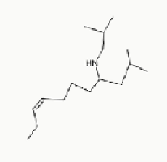 CC/C=C\CCCC(CC(C)C)NCC(C)C